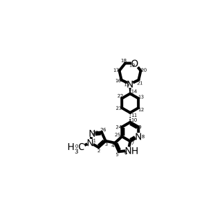 Cn1cc(-c2c[nH]c3ncc([C@H]4CC[C@H](N5CCCOCC5)CC4)cc23)cn1